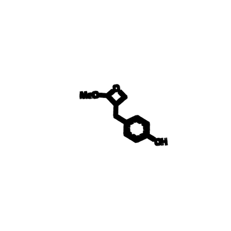 COC1OCC1Cc1ccc(O)cc1